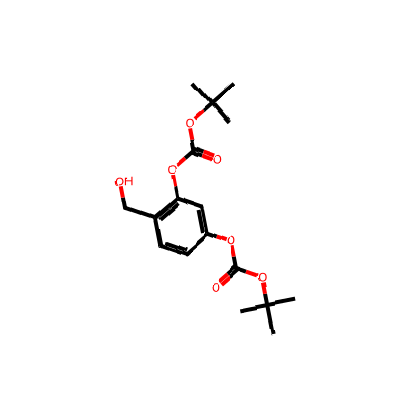 CC(C)(C)OC(=O)Oc1ccc(CO)c(OC(=O)OC(C)(C)C)c1